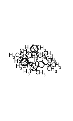 C[Si](C)(C)C1=C([Si](C)(C)C)[C]([Ti]([CH2]c2ccccc2)([CH2]c2ccccc2)[C]2=C([Si](C)(C)C)CC([Si](C)(C)C)=C2[Si](C)(C)C)=C([Si](C)(C)C)C1